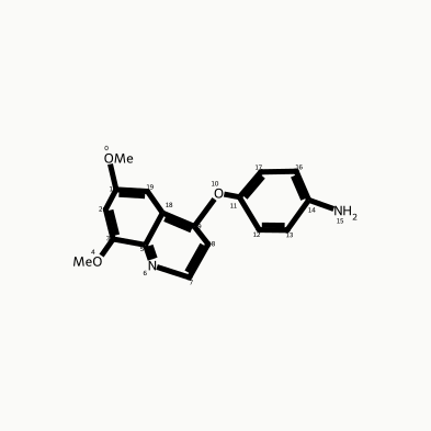 COc1cc(OC)c2nccc(Oc3ccc(N)cc3)c2c1